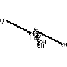 CCCCCCC=CCCCCCCCCOC(COP(=O)(O)OCC(O)CO)CS(=O)(=O)CCCCCCCCCCCCCCCC